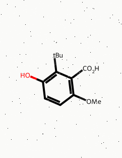 COc1ccc(O)c(C(C)(C)C)c1C(=O)O